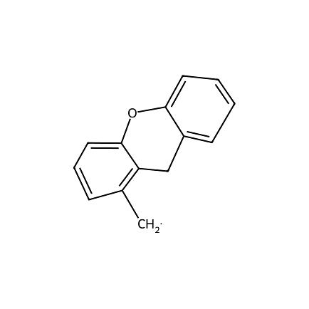 [CH2]c1cccc2c1Cc1ccccc1O2